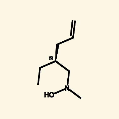 C=CC[C@H](CC)CN(C)O